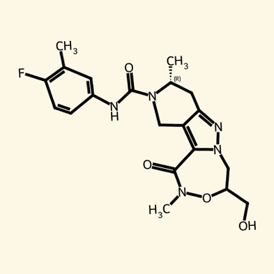 Cc1cc(NC(=O)N2Cc3c(nn4c3C(=O)N(C)OC(CO)C4)C[C@H]2C)ccc1F